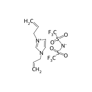 C=CCn1cc[n+](CC=C)c1.O=S(=O)([N-]S(=O)(=O)C(F)(F)F)C(F)(F)F